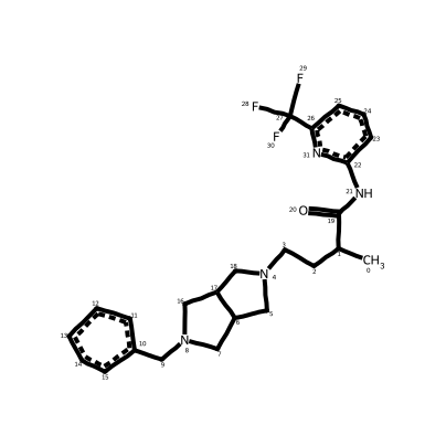 CC(CCN1CC2CN(Cc3ccccc3)CC2C1)C(=O)Nc1cccc(C(F)(F)F)n1